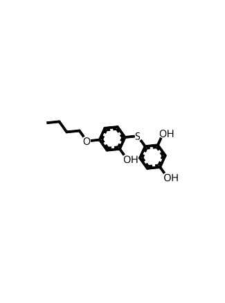 CCCCOc1ccc(Sc2ccc(O)cc2O)c(O)c1